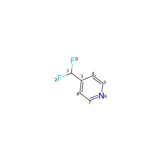 FC(F)c1[c]cncc1